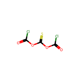 O=C(Cl)OC(=S)OC(=O)Cl